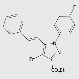 CCOC(=O)c1nn(-c2ccc(F)cc2)c(/C=C/c2ccccc2)c1C(C)C